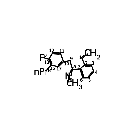 C=Cc1ccccc1/C(Cc1ccc(F)c(CCC)c1)=N\C